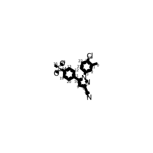 Cc1cc(-n2nc(C#N)cc2-c2ccc(S(C)(=O)=O)cc2)ccc1Cl